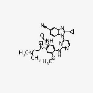 COc1cc(N(C)CCN(C)C)c(NC=O)cc1Nc1nccc(-n2c(C3CC3)nc3cc(C#N)ccc32)n1